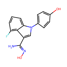 N/C(=N\O)c1cn(-c2ccc(O)cc2)c2cccc(F)c12